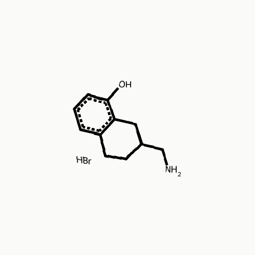 Br.NCC1CCc2cccc(O)c2C1